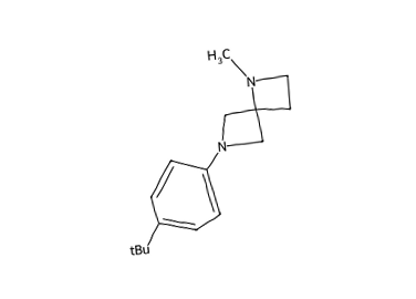 CN1CCC12CN(c1ccc(C(C)(C)C)cc1)C2